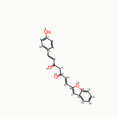 O=C(C=Cc1ccc(O)cc1)CC(=O)C=Cc1cc2ccccc2o1